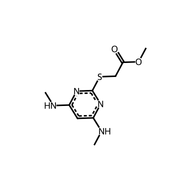 CNc1cc(NC)nc(SCC(=O)OC)n1